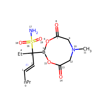 CCC/C=C/C(CC)(B1OC(=O)CN(C)CC(=O)O1)S(N)(=O)=O